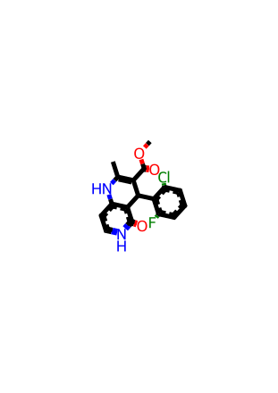 COC(=O)C1=C(C)Nc2cc[nH]c(=O)c2C1c1c(F)cccc1Cl